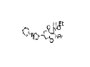 CCCC(NOCC)=C1C(=O)C=C(c2ccn(-c3ccccc3)c2)CC1=O